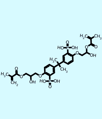 C=C(C)C(=O)OCC(O)COc1ccc(C(C)(C)c2ccc(OCC(O)OC(=O)C(=C)C)c(P(=O)(O)O)c2)cc1P(=O)(O)O